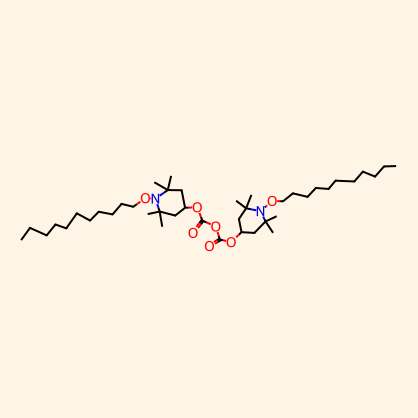 CCCCCCCCCCCON1C(C)(C)CC(OC(=O)OC(=O)OC2CC(C)(C)N(OCCCCCCCCCCC)C(C)(C)C2)CC1(C)C